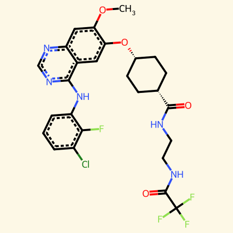 COc1cc2ncnc(Nc3cccc(Cl)c3F)c2cc1O[C@H]1CC[C@@H](C(=O)NCCNC(=O)C(F)(F)F)CC1